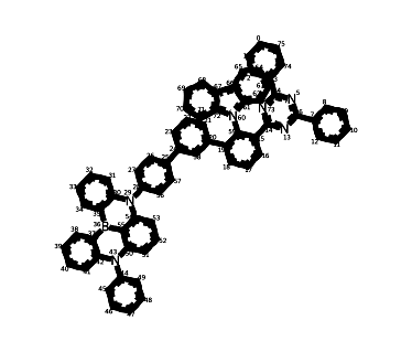 c1ccc(-c2nc(-c3ccccc3)nc(-c3cccc(-c4cccc(-c5ccc(N6c7ccccc7B7c8ccccc8N(c8ccccc8)c8cccc6c87)cc5)c4)c3-n3c4ccccc4c4ccccc43)n2)cc1